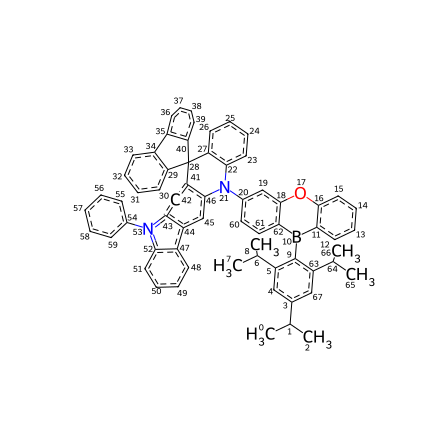 CC(C)c1cc(C(C)C)c(B2c3ccccc3Oc3cc(N4c5ccccc5C5(c6ccccc6-c6ccccc65)c5cc6c(cc54)c4ccccc4n6-c4ccccc4)ccc32)c(C(C)C)c1